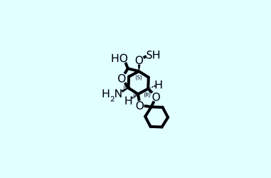 N[C@@]12C[C@@](OS)(C[C@H]3OC4(CCCCC4)O[C@H]31)C(O)O2